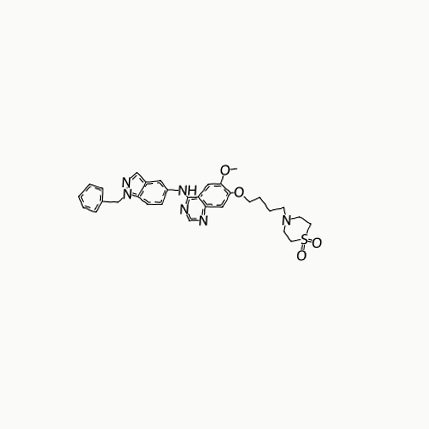 COc1cc2c(Nc3ccc4c(cnn4Cc4ccccc4)c3)ncnc2cc1OCCCCN1CCS(=O)(=O)CC1